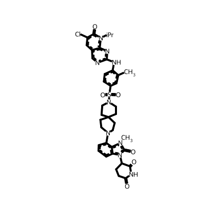 Cc1cc(S(=O)(=O)N2CCC3(CCN(c4cccc5c4n(C)c(=O)n5C4CCC(=O)NC4=O)CC3)CC2)ccc1Nc1ncc2cc(Cl)c(=O)n(C(C)C)c2n1